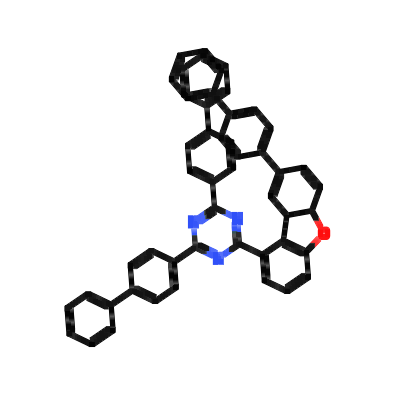 C1=CC2Oc3cccc(-c4nc(-c5ccc(-c6ccccc6)cc5)nc(-c5ccc(-c6ccccc6)cc5)n4)c3C2C=C1c1ccc(-c2ccccc2)cc1